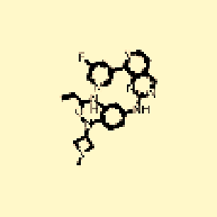 C=CC(=O)Nc1cc(Nc2ncc3ccnc(-c4cncc(F)c4)c3n2)ccc1N(C)C1CN(C)C1